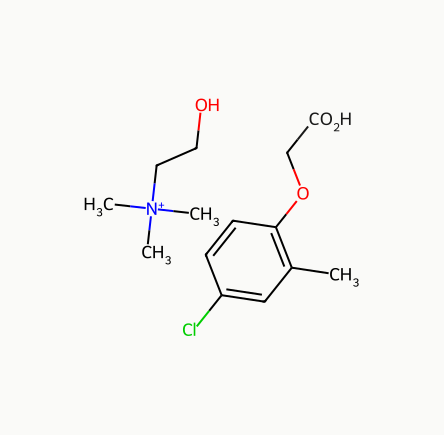 C[N+](C)(C)CCO.Cc1cc(Cl)ccc1OCC(=O)O